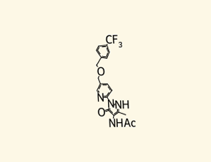 CC(=O)Nc1c(C)[nH]n(-c2ccc(COCc3ccc(C(F)(F)F)cc3)cn2)c1=O